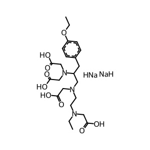 CCOc1ccc(CC(CN(CCN(CC)CC(=O)O)CC(=O)O)N(CC(=O)O)CC(=O)O)cc1.[NaH].[NaH]